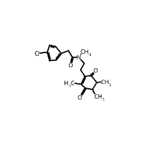 CC1=C(CCN(C)C(=O)Cc2ccc(Cl)cc2)C(=O)C(C)C(C)C1=O